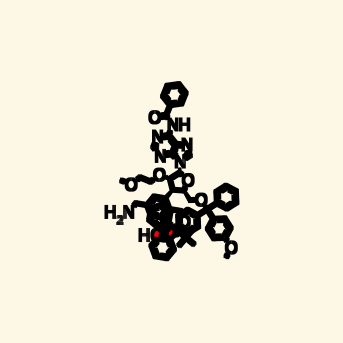 COCCO[C@@H]1[C@H](c2cc(CN)cc(C(=O)O)c2CO[Si](c2ccccc2)(c2ccccc2)C(C)(C)C)[C@H](COC(c2ccccc2)(c2ccc(OC)cc2)c2ccc(OC)cc2)O[C@H]1n1cnc2c(NC(=O)c3ccccc3)ncnc21